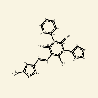 Cc1nnc(N=Nc2c(O)n(-c3ccco3)c(=O)n(-c3ccccn3)c2=O)s1